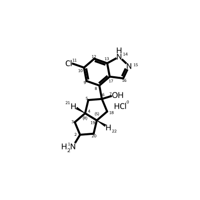 Cl.NC1C[C@@H]2CC(O)(c3cc(Cl)cc4[nH]ncc34)C[C@@H]2C1